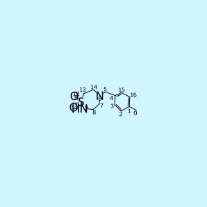 Cc1ccc(CN2CCNS(=O)(=O)CC2)cc1